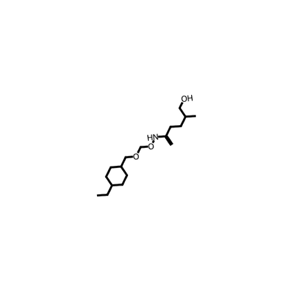 C=C(CCC(C)CO)NOCOCC1CCC(CC)CC1